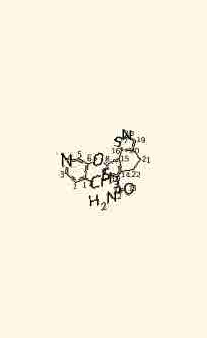 Cc1ccncc1Oc1sc(C(N)=O)c2c1-c1sncc1CC2